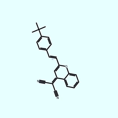 CC(C)(C)c1ccc(/C=C/C2=CC(=C(C#N)C#N)c3ccccc3O2)cc1